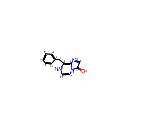 O=c1cnc2c(Cc3ccccc3)[nH]ccn1-2